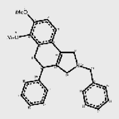 COc1ccc2c(c1OC)CC(c1ccccc1)C1=C2CN(Cc2ccccc2)C1